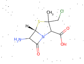 CC1(CCl)S[C@H]2C(N)C(=O)N2C1C(=O)O